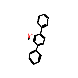 C[O].c1ccc(-c2ccc(-c3ccccc3)cc2)cc1